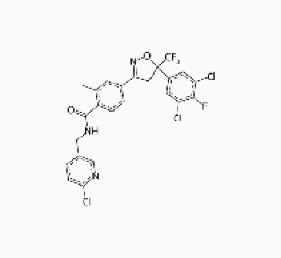 Cc1cc(C2=NOC(c3cc(Cl)c(F)c(Cl)c3)(C(F)(F)F)C2)ccc1C(=O)NCc1ccc(Cl)nc1